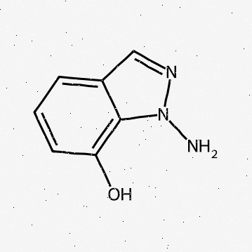 Nn1ncc2cccc(O)c21